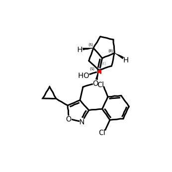 O/N=C1/[C@@H]2CC[C@H]1C[C@H](OCc1c(-c3c(Cl)cccc3Cl)noc1C1CC1)C2